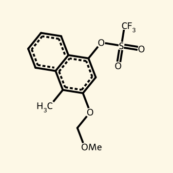 COCOc1cc(OS(=O)(=O)C(F)(F)F)c2ccccc2c1C